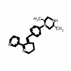 C[C@@H]1CN(c2ccc(/C=C3\CCCN=C3c3cccnc3)cc2)[C@@H](C)CN1